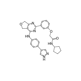 O=C(COc1cccc(-c2nc3c(c(Nc4ccc(-c5cn[nH]c5)cc4)n2)COC3)c1)NC1CCCC1